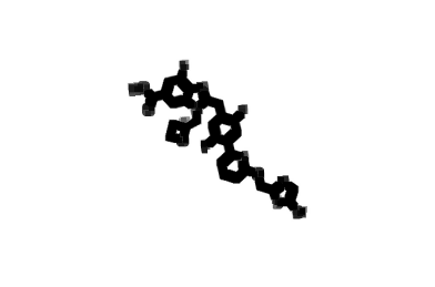 O=C(O)c1cc(F)c2nc(Cc3cc(F)c(-c4cccc(OCc5ncc(Br)s5)n4)cc3F)n(C[C@@H]3CCO3)c2c1